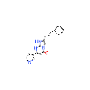 O=c1cc(-c2cccnc2)nc2[nH]c(CCCc3ccccc3)cn12